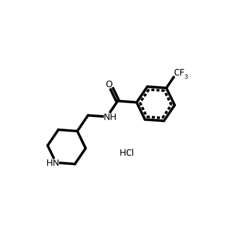 Cl.O=C(NCC1CCNCC1)c1cccc(C(F)(F)F)c1